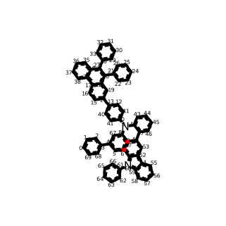 c1ccc(-c2cccc(N(c3ccc(-c4ccc5c(c4)c(-c4ccccc4)c(-c4ccccc4)c4ccccc45)cc3)c3ccccc3-c3ccc4c(c3)c3ccccc3n4-c3ccccc3)c2)cc1